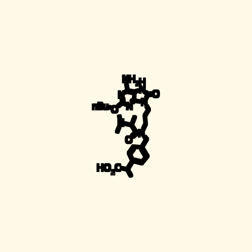 CCCCOc1nc(N)c2[nH]c(=O)n(CCCN(Cc3ccc(C(C)C(=O)O)cc3)C(=O)C(C)N(C)C)c2n1